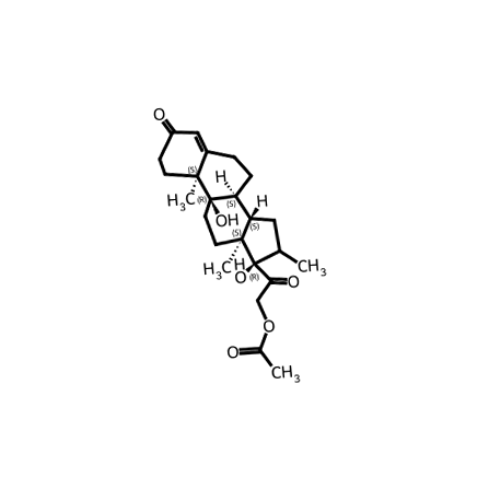 CC(=O)OCC(=O)[C@@]1(O)C(C)C[C@H]2[C@@H]3CCC4=CC(=O)CC[C@]4(C)[C@@]3(O)CC[C@@]21C